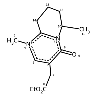 CCOC(=O)Cc1c[n+](C)c2n(c1=O)C(C)CCC2